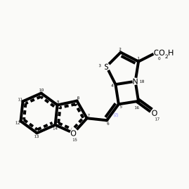 O=C(O)C1=CSC2/C(=C\c3cc4ccccc4o3)C(=O)N12